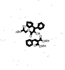 CCCCC(CC)COC(=O)C(C#N)=C(c1ccccc1)c1ccccc1.COC(=O)C(=Cc1ccccc1)C(=O)OC